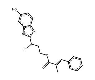 CCC(CCOC(=O)C(C)=Cc1ccccc1)n1nc2ccc(O)cc2n1